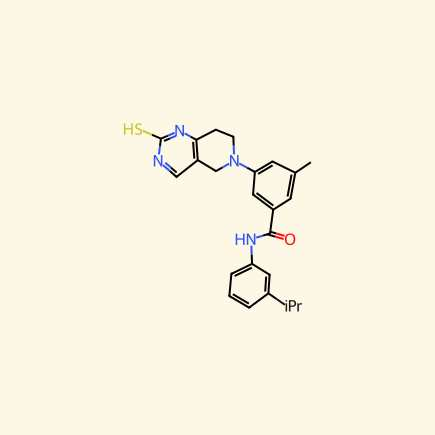 Cc1cc(C(=O)Nc2cccc(C(C)C)c2)cc(N2CCc3nc(S)ncc3C2)c1